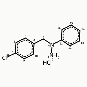 Cl.NN(Cc1ccc(Cl)cc1)c1ccccc1